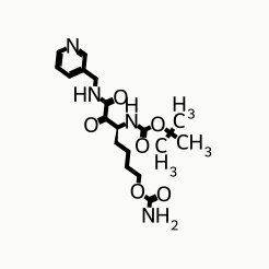 CC(C)(C)OC(=O)N[C@@H](CCCCOC(N)=O)C(=O)C(=O)NCc1cccnc1